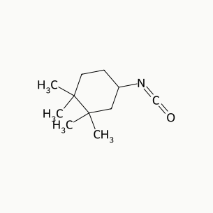 CC1(C)CCC(N=C=O)CC1(C)C